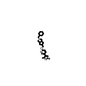 Cc1nn(C)cc1-c1ccc(OCC2CC3CN(CC4CCCCC4)CC3C2)nn1